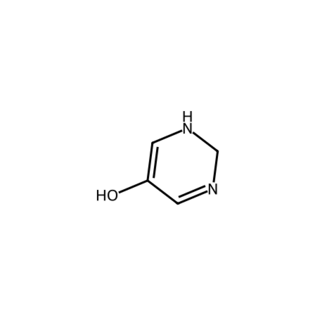 OC1=CNCN=C1